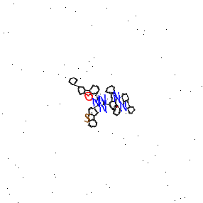 c1ccc(-c2ccc3oc4c(-c5nc(-c6ccc7sc8ccccc8c7c6)nc(-c6cccc7c6c6ccccc6n7-c6cccc7c8ccccc8n(-c8ccccc8)c67)n5)cccc4c3c2)cc1